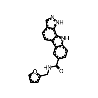 O=C(NCc1ccco1)c1ccc2[nH]c3c(ccc4cn[nH]c43)c2c1